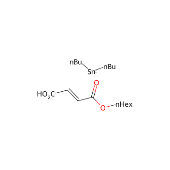 CCCCCCOC(=O)C=CC(=O)O.CCC[CH2][Sn][CH2]CCC